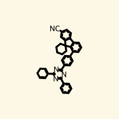 N#Cc1ccc2c(c1)C1(CCCCC1)c1c(-c3ccc(-c4nc(C5=CCCC=C5)nc(-c5ccccc5)n4)cc3)cccc1-2